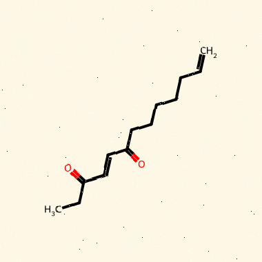 C=CCCCCCC(=O)C=CC(=O)CC